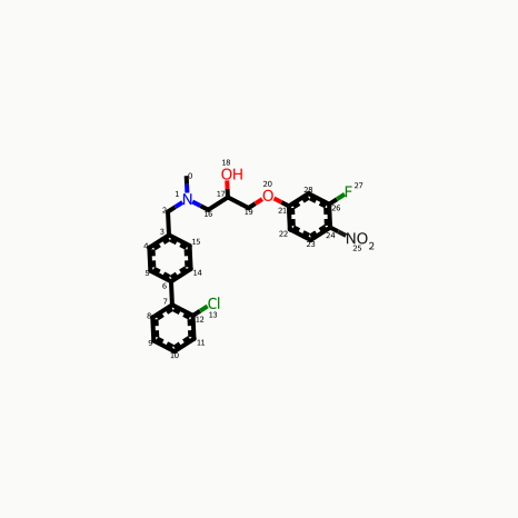 CN(Cc1ccc(-c2ccccc2Cl)cc1)CC(O)COc1ccc([N+](=O)[O-])c(F)c1